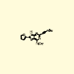 CCCCC#Cc1nc(NC)c2nc(-c3ccco3)[nH]c2n1